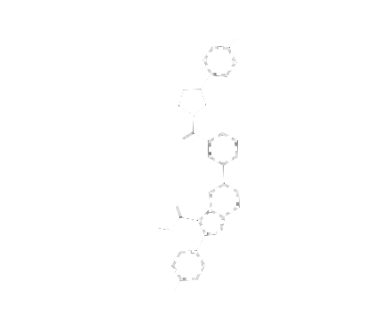 CNC(=O)c1c(-c2ccc(F)cc2)oc2ccc(-c3cccc(C(=O)N4CCC(c5ccc(F)cc5)C4)c3)cc12